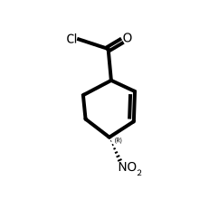 O=C(Cl)C1C=C[C@H]([N+](=O)[O-])CC1